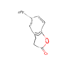 CCCc1ccc2c(c1)CC(=O)O2